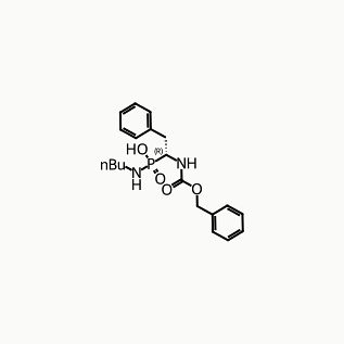 CCCCNP(=O)(O)[C@H](Cc1ccccc1)NC(=O)OCc1ccccc1